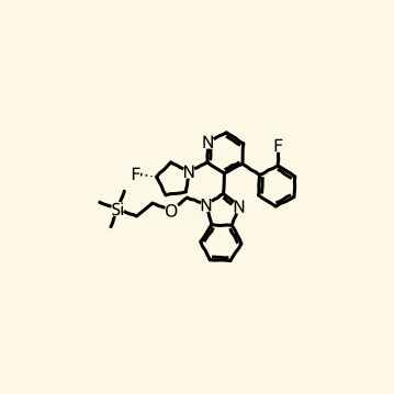 C[Si](C)(C)CCOCn1c(-c2c(-c3ccccc3F)ccnc2N2CC[C@H](F)C2)nc2ccccc21